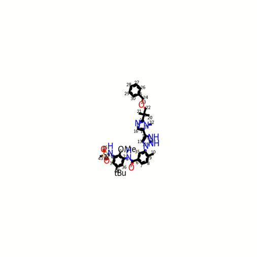 COc1c(NC(=O)c2ccc(C)c(N3C=C(c4cnc(C(C)(C)COCc5ccccc5)n4C)NN3)c2)cc(C(C)(C)C)cc1NS(C)(=O)=O